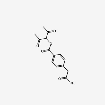 CC(=O)C(OC(=O)c1ccc(CC(=O)O)cc1)C(C)=O